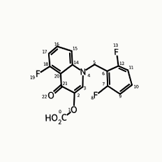 O=C(O)Oc1cn(Cc2c(F)cccc2F)c2cccc(F)c2c1=O